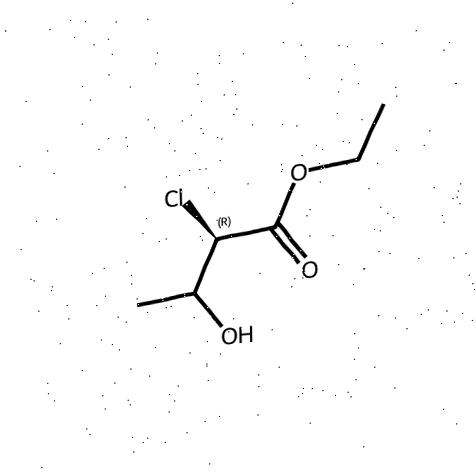 CCOC(=O)[C@H](Cl)C(C)O